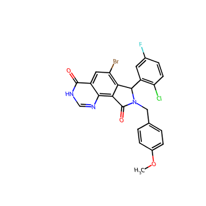 COc1ccc(CN2C(=O)c3c(c(Br)cc4c(=O)[nH]cnc34)C2c2cc(F)ccc2Cl)cc1